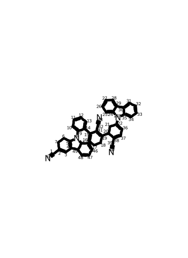 N#CC1=CC2=C(CC1)N(c1ccccc1C1=CCCC(C3CC(n4c5ccccc5c5ccccc54)=CC=C3C#N)=C1C#N)C1C=CC=CC21